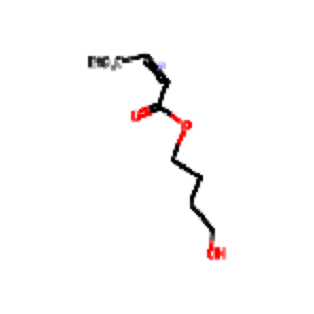 CCOC(=O)/C=C\C(=O)OCCCCO